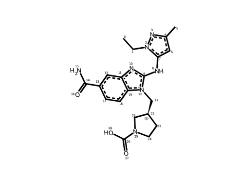 CCn1nc(C)cc1Nc1nc2cc(C(N)=O)ccc2n1C[C@H]1CCN(C(=O)O)C1